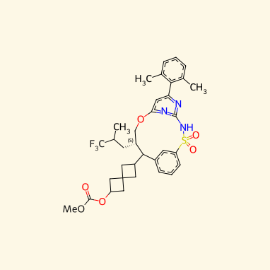 COC(=O)OC1CC2(C1)CC(C1c3cccc(c3)S(=O)(=O)Nc3nc(cc(-c4c(C)cccc4C)n3)OC[C@H]1CC(C)C(F)(F)F)C2